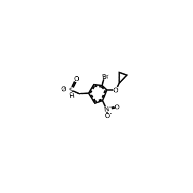 O=[N+]([O-])c1cc(C[SH](=O)=O)cc(Br)c1OC1CC1